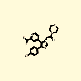 O=C(Cn1cnc(-c2ccc(Cl)cc2)c1-c1ccnc(C(F)F)c1)N1CCOCC1